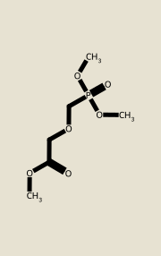 COC(=O)COCP(=O)(OC)OC